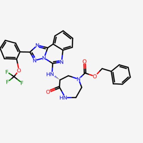 O=C1NCCN(C(=O)OCc2ccccc2)C[C@H]1Nc1nc2ccccc2c2nc(-c3ccccc3OC(F)(F)F)nn12